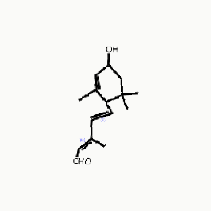 CC1=CC(O)CC(C)(C)C1/C=C/C(C)=C/C=O